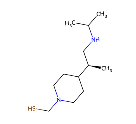 CC(C)NC[C@@H](C)C1CCN(CS)CC1